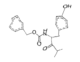 CC(C)C(=O)C(Cc1ccc(O)cc1)NC(=O)OCc1ccccc1